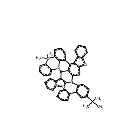 CC(C)(C)c1ccc(N2c3cc4oc5ccccc5c4c4c3B(c3c2oc2ccccc32)N2c3ccccc3[Si](C)(C)c3cccc-4c32)c(-c2ccccc2)c1